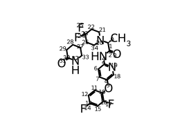 C[C@@H](C(=O)Nc1ccc(Oc2ccc(F)cc2F)cn1)N1CCC(F)(F)[C@@H](C2CCC(=O)NC2)C1